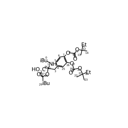 CCC(C)N[C@@](Cc1ccc(OC(=O)OC(C)(C)CC)c(OC(=O)OC(C)(C)CC)c1)(OC(=O)C(C)CC)C(=O)O